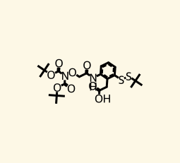 CC(C)(C)OC(=O)N(OCC(=O)Nc1cccc(SSC(C)(C)C)c1CC(=O)O)C(=O)OC(C)(C)C